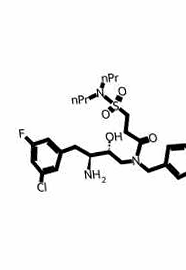 CCCN(CCC)S(=O)(=O)CCC(=O)N(Cc1ccccc1)C[C@@H](O)[C@@H](N)Cc1cc(F)cc(Cl)c1